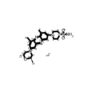 Cc1cc(N2CCN(S(N)(=O)=O)CC2)cc2[s+]c3cc(N4C[C@@H](C)O[C@H](C)C4)cc(C)c3nc12.[I-]